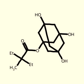 CCC(C)(CC)C(=O)OC12CC3(O)CC(O)(CC(O)(C3)C1)C2